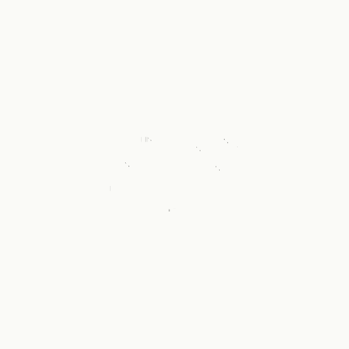 CCCOc1cc(F)nc2[nH]cc(-c3ccnc(N)n3)c12